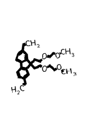 C=Cc1ccc2c(c1)C(CCOCCOC)(CCOCCOC)c1cc(C=C)ccc1-2